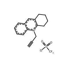 C#CC[n+]1c2c(cc3ccccc31)CCCC2.O=S(=O)([O-])C(F)(F)F